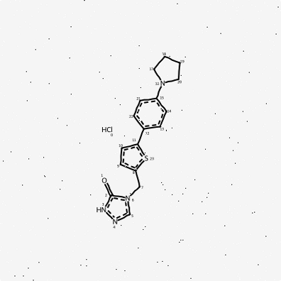 Cl.O=c1[nH]ncn1Cc1ccc(-c2ccc(N3CCCC3)cc2)s1